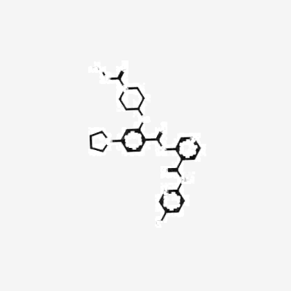 CC(C)(C)OC(=O)N1CCC(Oc2cc(N3CCCC3)ccc2C(=O)Nc2cnccc2C(=O)Nc2ccc(Cl)cn2)CC1